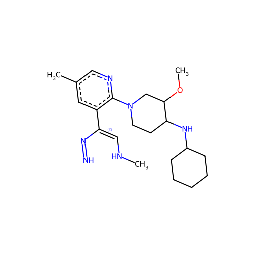 CN/C=C(\N=N)c1cc(C)cnc1N1CCC(NC2CCCCC2)C(OC)C1